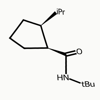 CC(C)[C@@H]1CCC[C@@H]1C(=O)NC(C)(C)C